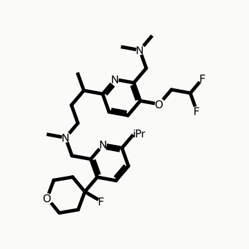 CC(C)c1ccc(C2(F)CCOCC2)c(CN(C)CCC(C)c2ccc(OCC(F)F)c(CN(C)C)n2)n1